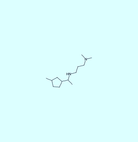 CC1CCC(C(C)NCCCN(C)C)C1